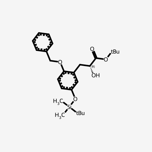 CC(C)(C)OC(=O)[C@H](O)Cc1cc(O[Si](C)(C)C(C)(C)C)ccc1OCc1ccccc1